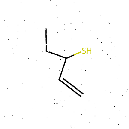 C=CC(S)CC